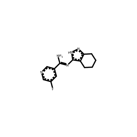 N/C(=N\c1[nH]nc2c1CCCC2)c1cncc(F)c1